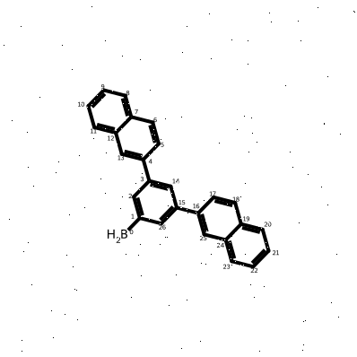 Bc1cc(-c2ccc3ccccc3c2)cc(-c2ccc3ccccc3c2)c1